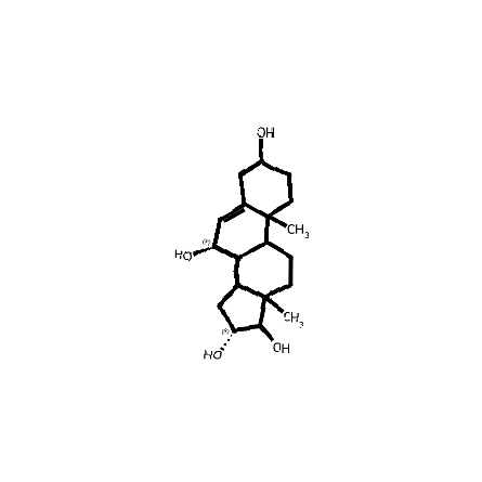 CC12CCC(O)CC1=C[C@H](O)C1C2CCC2(C)C1C[C@@H](O)C2O